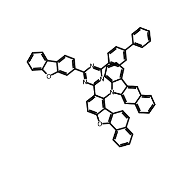 c1ccc(-c2ccc(-c3nc(-c4ccc5c(c4)oc4ccccc45)nc(-c4ccc5oc6c7ccccc7ccc6c5c4-n4c5ccccc5c5cc6ccccc6cc54)n3)cc2)cc1